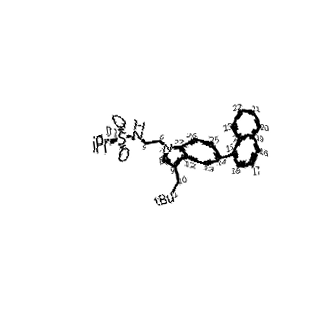 CC(C)S(=O)(=O)NCCn1cc(CC(C)(C)C)c2cc(-c3cccc4ccccc34)ccc21